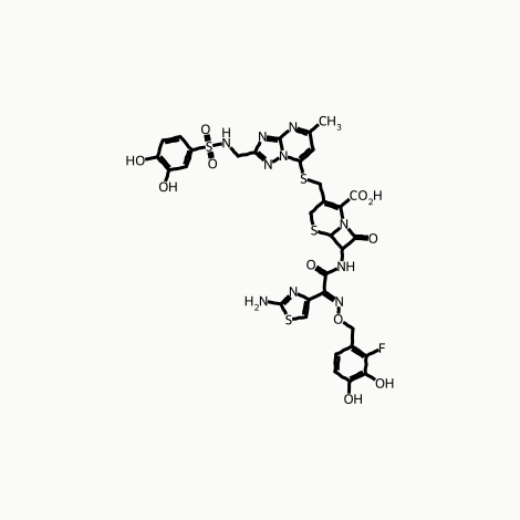 Cc1cc(SCC2=C(C(=O)O)N3C(=O)C(NC(=O)C(=NOCc4ccc(O)c(O)c4F)c4csc(N)n4)C3SC2)n2nc(CNS(=O)(=O)c3ccc(O)c(O)c3)nc2n1